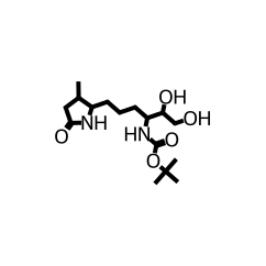 CC1CC(=O)NC1CCCC(NC(=O)OC(C)(C)C)C(O)CO